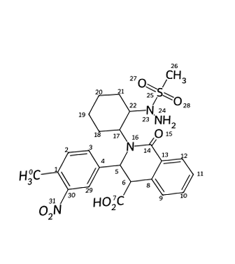 Cc1ccc(C2C(C(=O)O)c3ccccc3C(=O)N2C2CCCCC2N(N)S(C)(=O)=O)cc1[N+](=O)[O-]